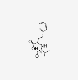 CC(C)[C@@H](C=O)NC(CCc1ccccc1)C(=O)O